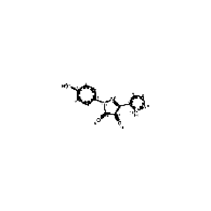 Cc1ccc(N2N=C(c3ccn[nH]3)C(=O)C2=O)cc1